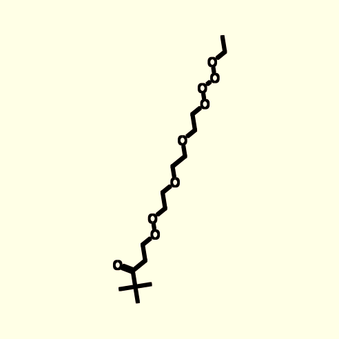 CCOOOOCCOCCOCCOOCCC(=O)C(C)(C)C